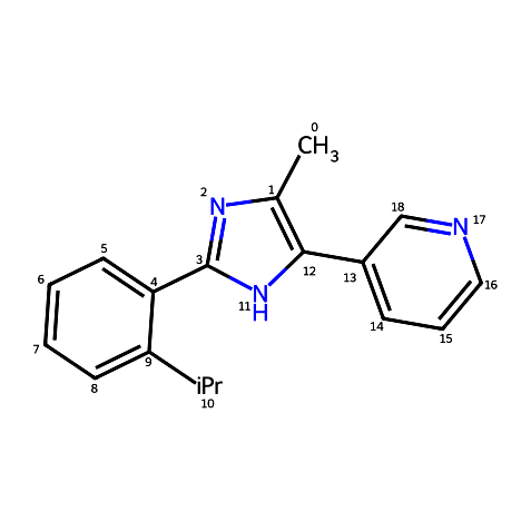 Cc1nc(-c2ccccc2C(C)C)[nH]c1-c1cccnc1